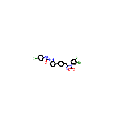 O=C(Nc1ccc(Cl)cc1)Nc1cccc(-c2ccc(Cc3noc(=O)n3-c3ccc(F)c(Br)c3)cc2)c1